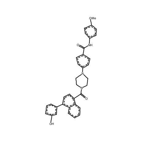 COc1ccc(NC(=O)c2ccc(N3CCN(C(=O)c4ccc(-c5cccc(O)c5)c5ccccc45)CC3)cc2)cc1